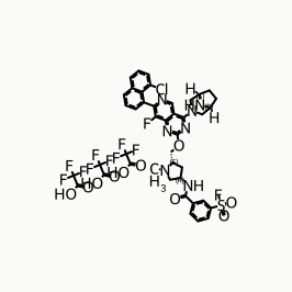 CN1C[C@H](NC(=O)c2cccc(S(=O)(=O)F)c2)C[C@H]1COc1nc(N2C[C@H]3CC[C@@H](C2)N3)c2cnc(-c3cccc4cccc(Cl)c34)c(F)c2n1.O=C(O)C(F)(F)F.O=C(O)C(F)(F)F.O=C(O)C(F)(F)F